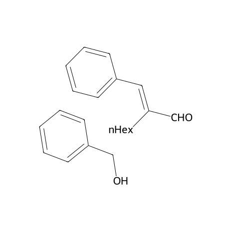 CCCCCC/C(C=O)=C\c1ccccc1.OCc1ccccc1